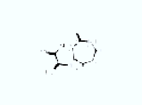 C=C(C)C(N)=O.O=C1CCCCCN1